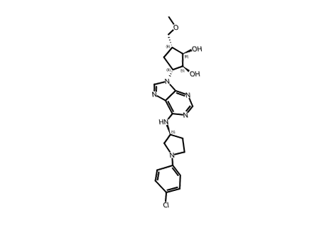 COC[C@H]1C[C@@H](n2cnc3c(N[C@H]4CCN(c5ccc(Cl)cc5)C4)ncnc32)[C@H](O)[C@@H]1O